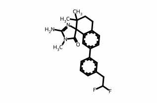 CN1C(=O)C2(N=C1N)c1cc(-c3cccc(CC(F)F)c3)ccc1CCC2(C)C